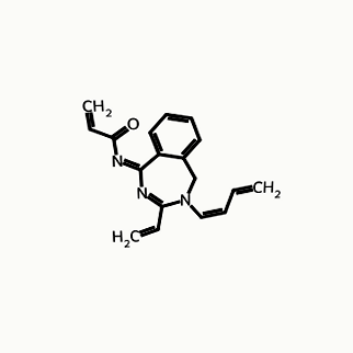 C=C/C=C\N1Cc2ccccc2/C(=N\C(=O)C=C)N=C1C=C